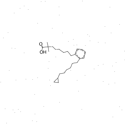 CC(C)(CCCCCCc1ccccc1CCCCCCC1CC1)C(=O)O